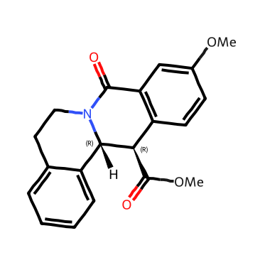 COC(=O)[C@@H]1c2ccc(OC)cc2C(=O)N2CCc3ccccc3[C@@H]12